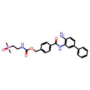 CP(C)(=O)CCNC(=O)OCc1ccc(C(=O)Nc2cc(-c3ccccc3)ccc2N)cc1